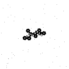 C=C/C(c1nc2oc3ccccc3c2c2ccccc12)=c1/cccc/c1=C(/C)c1cc(-c2ccccc2)nc(-c2cccc3c2sc2ccccc23)n1